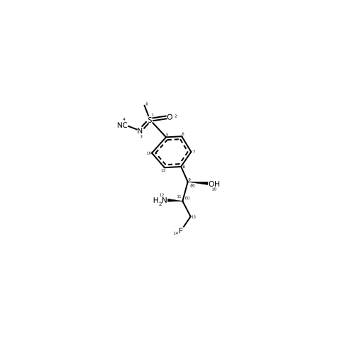 CS(=O)(=NC#N)c1ccc([C@@H](O)[C@H](N)CF)cc1